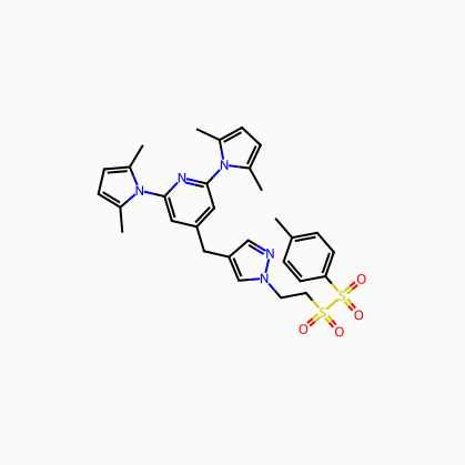 Cc1ccc(S(=O)(=O)S(=O)(=O)CCn2cc(Cc3cc(-n4c(C)ccc4C)nc(-n4c(C)ccc4C)c3)cn2)cc1